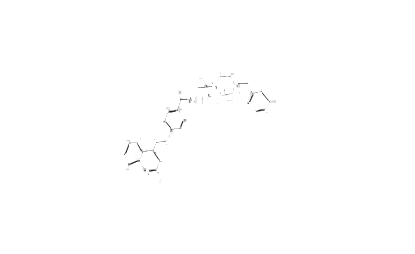 Cc1cc(COc2ccc(C(=O)NC[C@@](C)(C(=O)O)N3CCN(Cc4ccccc4)CC3)cc2)c2ccccc2n1